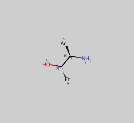 CC[C@H](O)[C@H](N)C(C)=O